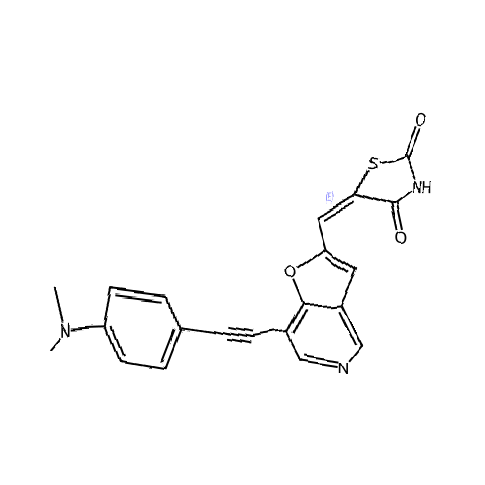 CN(C)c1ccc(C#Cc2cncc3cc(/C=C4/SC(=O)NC4=O)oc23)cc1